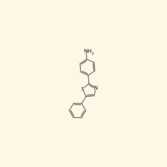 Nc1ccc(-c2ncc(-c3ccccc3)s2)cc1